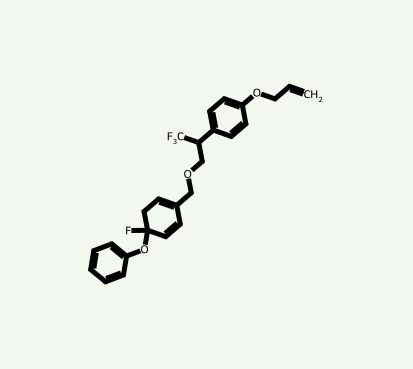 C=CCOc1ccc(C(COCC2=CCC(F)(Oc3ccccc3)C=C2)C(F)(F)F)cc1